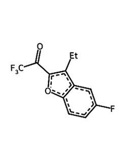 CCc1c(C(=O)C(F)(F)F)oc2ccc(F)cc12